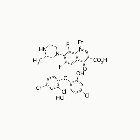 CCn1cc(C(=O)O)c(=O)c2cc(F)c(N3CCNC(C)C3)c(F)c21.Cl.Oc1cc(Cl)ccc1Oc1ccc(Cl)cc1Cl